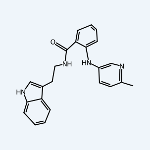 Cc1ccc(Nc2ccccc2C(=O)NCCc2c[nH]c3ccccc23)cn1